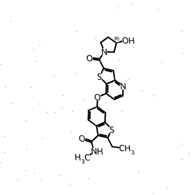 CCc1sc2cc(Oc3ccnc4cc(C(=O)N5CC[C@@H](O)C5)sc34)ccc2c1C(=O)NC